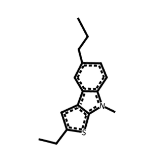 CCCc1ccc2c(c1)c1cc(CC)sc1n2C